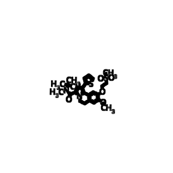 COc1cc2c(cc1OCCS(C)(=O)=O)-c1c(-c3cccs3)cc(C(=O)N(C)C(C)(C)C)n1CC2